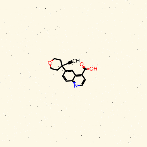 C#CC1(c2ccc3nccc(C(=O)O)c3c2)CCOCC1